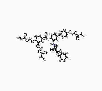 C=CC(=O)OCOc1ccc(-c2ccc(OC(=O)c3ccc(OCOC(=O)C=C)c(OCOC(=O)C=C)c3)c(/C=N/Nc3nc4ccccc4s3)c2)cc1